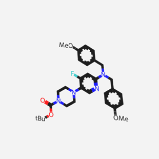 COc1ccc(CN(Cc2ccc(OC)cc2)c2cc(F)c(N3CCN(C(=O)OC(C)(C)C)CC3)cn2)cc1